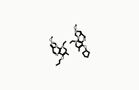 CCCOC1=C(C)CN(CC)C2=C1N=CC1=CN(OC)CN12.CCN1CC(C)=C(OC2CCCC2)C2=C1N1CN(OC)C=C1C=N2